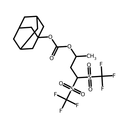 CC(CC(S(=O)(=O)C(F)(F)F)S(=O)(=O)C(F)(F)F)OC(=O)OC12CC3CC(CC(C3)C1)C2